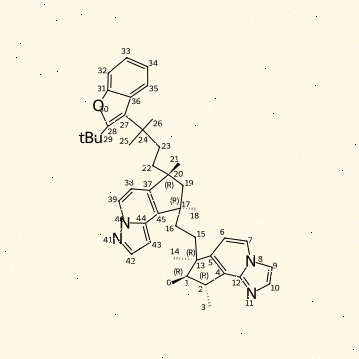 C[C@@H]1[C@@H](C)c2c(ccn3ccnc23)[C@]1(C)CC[C@]1(C)C[C@@](C)(CCC(C)(C)c2c(C(C)(C)C)oc3ccccc23)c2ccn3nccc3c21